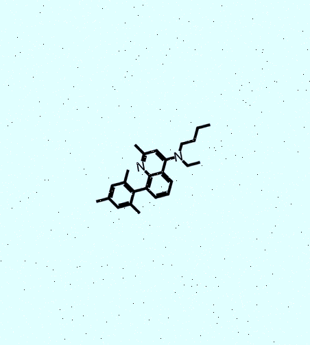 CCCCN(CC)c1cc(C)nc2c(-c3c(C)cc(C)cc3C)cccc12